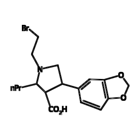 CCCC1C(C(=O)O)C(c2ccc3c(c2)OCO3)CN1CCBr